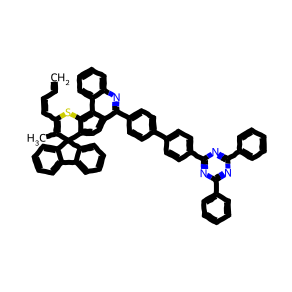 C=C/C=C\C1=C(C)C2(c3ccccc3-c3ccccc32)c2ccc3c(-c4ccc(-c5ccc(-c6nc(-c7ccccc7)nc(-c7ccccc7)n6)cc5)cc4)nc4ccccc4c3c2S1